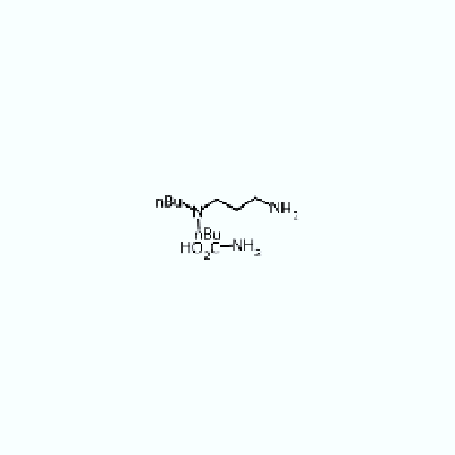 CCCCN(CCCC)CCCN.NC(=O)O